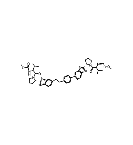 COO/C=N\C(C(=O)N1CCC[C@H]1c1nc2cc(-c3ccc(CCc4ccc5[nH]c([C@@H]6CCCN6C(=O)[C@@H](NC(=O)OC)C(C)C)nc5c4)cc3)ccc2[nH]1)C(C)C